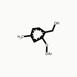 CC(=O)OOc1cc(C)ccc1CO